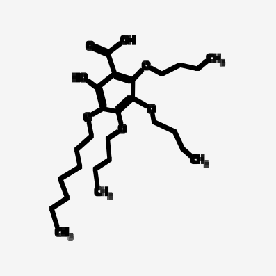 CCCCCCCOc1c(O)c(C(=O)O)c(OCCCC)c(OCCCC)c1OCCCC